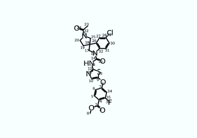 COC(=O)c1ccc(Oc2cnc(NC(=O)N3CC4(CCN(C(C)=O)C4)c4cc(Cl)ccc43)s2)cc1F